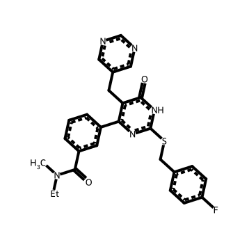 CCN(C)C(=O)c1cccc(-c2nc(SCc3ccc(F)cc3)[nH]c(=O)c2Cc2cncnc2)c1